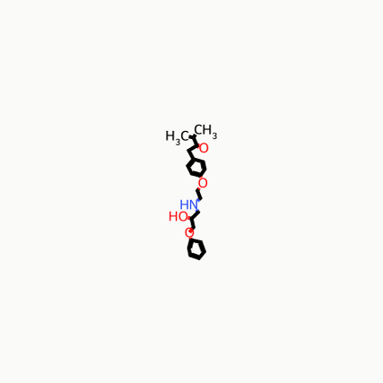 CC(C)C(=O)Cc1ccc(OCCNCC(O)COc2ccccc2)cc1